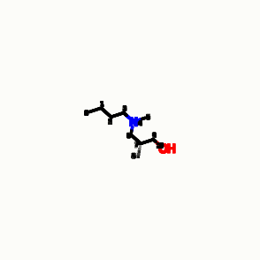 CCCCN(C)C[C@@H](C)CO